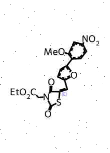 CCOC(=O)CN1C(=O)S/C(=C/c2ccc(-c3ccc([N+](=O)[O-])cc3OC)o2)C1=O